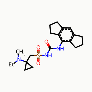 CCN(C)C1(CS(=O)(=O)NC(=O)Nc2c3c(cc4c2CCC4)CCC3)CC1